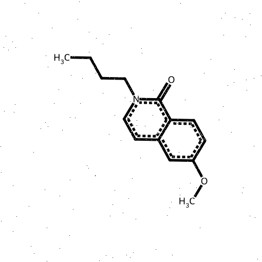 CCCCn1ccc2cc(OC)ccc2c1=O